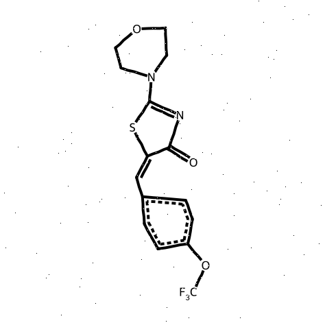 O=C1N=C(N2CCOCC2)S/C1=C/c1ccc(OC(F)(F)F)cc1